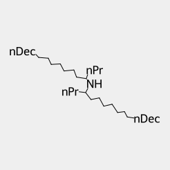 CCCCCCCCCCCCCCCCCC(CCC)NC(CCC)CCCCCCCCCCCCCCCCC